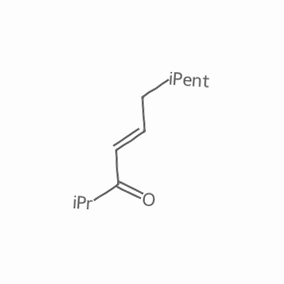 CCCC(C)C/C=C/C(=O)C(C)C